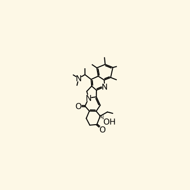 CC[C@@]1(O)C(=O)CCc2c1cc1n(c2=O)Cc2c-1nc1c(C)c(C)c(C)c(C)c1c2C(C)N(C)C